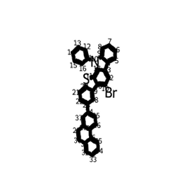 Brc1cc2c3ccccc3n(-c3ccccc3)c2c2sc3ccc(-c4ccc5c(ccc6ccccc65)c4)cc3c12